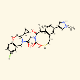 C[C@@H]1C(=O)N(CC(=O)N2Cc3cc(F)ccc3OC[C@H]2C2CC2)C(=O)OSCCc2cc(-c3cnn(C)c3)ccc21